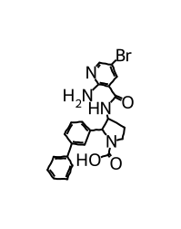 Nc1ncc(Br)cc1C(=O)NC1CCN(C(=O)O)C1c1cccc(-c2ccccc2)c1